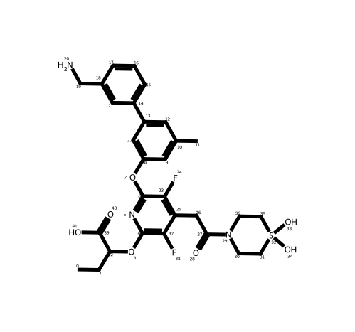 CCC(Oc1nc(Oc2cc(C)cc(-c3cccc(CN)c3)c2)c(F)c(CC(=O)N2CCS(O)(O)CC2)c1F)C(=O)O